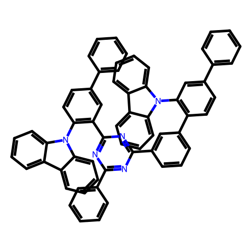 c1ccc(-c2ccc(-n3c4ccccc4c4ccccc43)c(-c3nc(-c4ccccc4)nc(-c4cccc(-c5ccc(-c6ccccc6)cc5-n5c6ccccc6c6ccccc65)c4)n3)c2)cc1